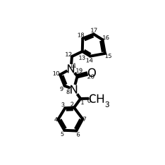 CC(c1ccccc1)n1ccn(Cc2ccccc2)c1=O